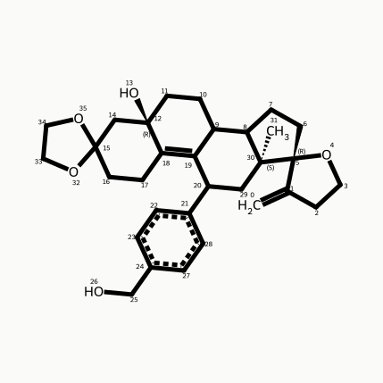 C=C1CCO[C@]12CCC1C3CC[C@@]4(O)CC5(CCC4=C3C(c3ccc(CO)cc3)C[C@@]12C)OCCO5